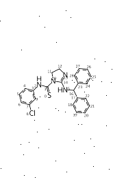 S=C(Nc1cccc(Cl)c1)N1CCN=C1NC(c1ccccc1)c1ccccc1